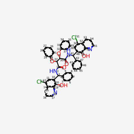 O=C(NC(c1ccccc1)c1cc(Cl)c2cccnc2c1O)C(Oc1ccccc1)C(Oc1ccccc1)C(=O)NC(c1ccccc1)c1cc(Cl)c2cccnc2c1O